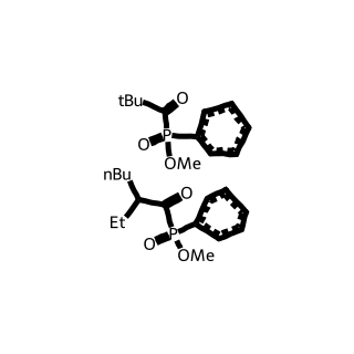 CCCCC(CC)C(=O)P(=O)(OC)c1ccccc1.COP(=O)(C(=O)C(C)(C)C)c1ccccc1